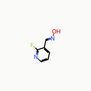 ON=Cc1cccnc1F